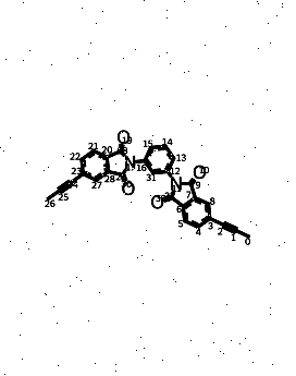 CC#Cc1ccc2c(c1)C(=O)N(c1cccc(N3C(=O)c4ccc(C#CC)cc4C3=O)c1)C2=O